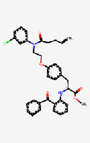 C=CCCC(=O)N(CCOc1ccc(C[C@H](Nc2ccccc2C(=O)c2ccccc2)C(=O)OC)cc1)c1cccc(Cl)c1